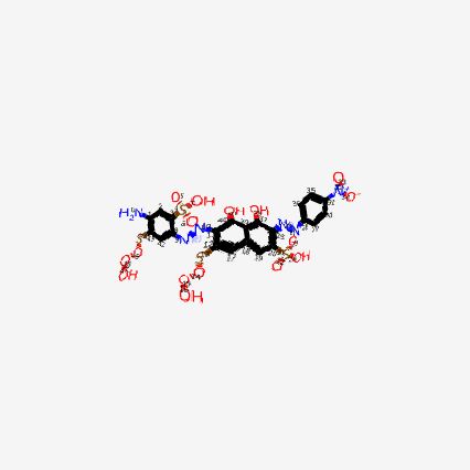 Nc1cc(S(=O)(=O)O)c(/N=N/c2c(SOOO)cc3cc(S(=O)(=O)O)c(/N=N/c4ccc([N+](=O)[O-])cc4)c(O)c3c2O)cc1SOOO